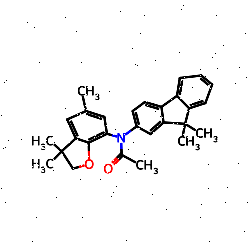 CC(=O)N(c1ccc2c(c1)C(C)(C)c1ccccc1-2)c1cc(C)cc2c1OCC2(C)C